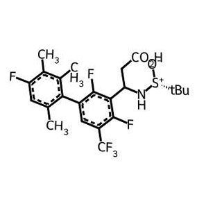 Cc1cc(F)c(C)c(C)c1-c1cc(C(F)(F)F)c(F)c(C(CC(=O)O)N[S@+]([O-])C(C)(C)C)c1F